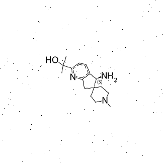 CN1CCC2(CC1)Cc1nc(C(C)(C)O)ccc1[C@H]2N